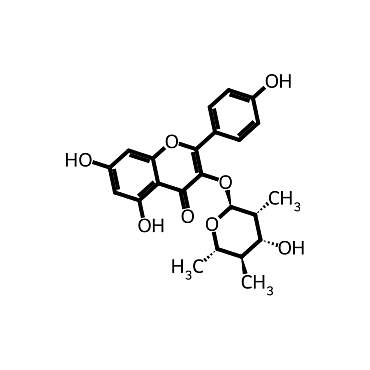 C[C@@H]1[C@@H](O)[C@@H](C)[C@H](Oc2c(-c3ccc(O)cc3)oc3cc(O)cc(O)c3c2=O)O[C@H]1C